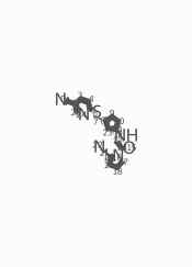 N#Cc1ccc(SC[C@@H]2CC[C@@H](NCC(=O)N3CCC[C@H]3C#N)C2)nc1